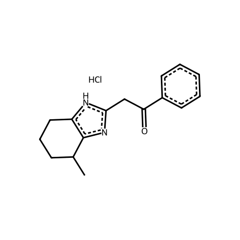 CC1CCCc2[nH]c(CC(=O)c3ccccc3)nc21.Cl